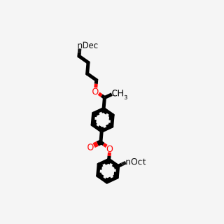 CCCCCCCCCCCCCCOC(C)c1ccc(C(=O)Oc2ccccc2CCCCCCCC)cc1